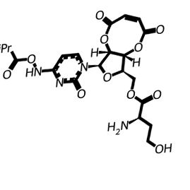 CC(C)C(=O)ONc1ccn([C@@H]2O[C@H](COC(=O)[C@H](N)CCO)[C@H]3OC(=O)/C=C\C(=O)O[C@H]32)c(=O)n1